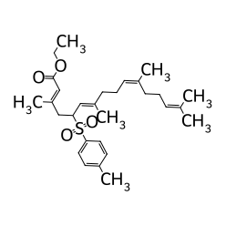 CCOC(=O)C=C(C)CC(C=C(C)CCC=C(C)CCC=C(C)C)S(=O)(=O)c1ccc(C)cc1